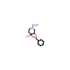 N#CC1(O)CCN(C(=O)O)CC1OCc1ccccc1